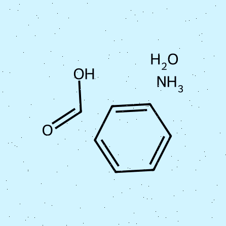 N.O.O=CO.c1ccccc1